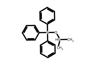 C[SiH](C)O[Si](c1ccccc1)(c1ccccc1)c1ccccc1